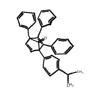 CC(C)c1ccc(C23C=CC(c4ccccc4)(C2=O)C(c2ccccc2)=C3c2ccccc2)cc1